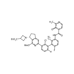 CCOC(=O)C1CN([C@@H]2CCc3cc(-c4ccc(F)c(-c5c(F)ccc(NC(=O)c6ccnn(C)c6=O)c5C)c4Cl)nc(OC)c32)C1